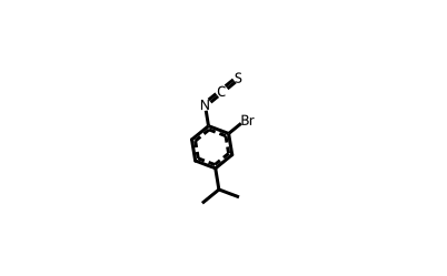 CC(C)c1ccc(N=C=S)c(Br)c1